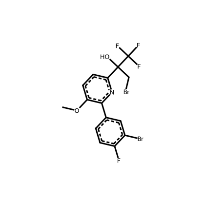 COc1ccc(C(O)(CBr)C(F)(F)F)nc1-c1ccc(F)c(Br)c1